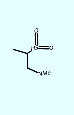 CNCC(C)[SH](=O)=O